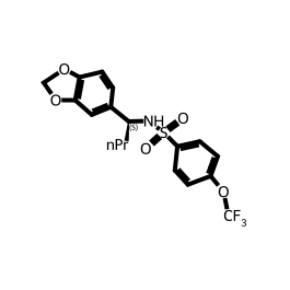 CCC[C@H](NS(=O)(=O)c1ccc(OC(F)(F)F)cc1)c1ccc2c(c1)OCO2